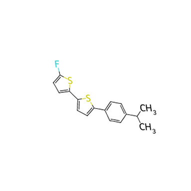 CC(C)c1ccc(-c2ccc(-c3ccc(F)s3)s2)cc1